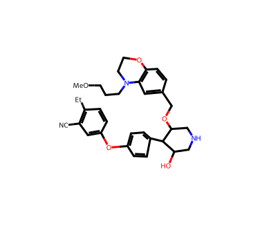 CCc1ccc(Oc2ccc(C3C(O)CNCC3OCc3ccc4c(c3)N(CCCOC)CCO4)cc2)cc1C#N